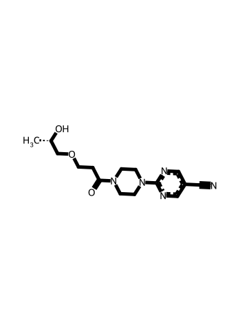 C[C@H](O)COCCC(=O)N1CCN(c2ncc(C#N)cn2)CC1